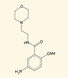 COc1ccc(N)cc1C(=O)NCCN1CCOCC1